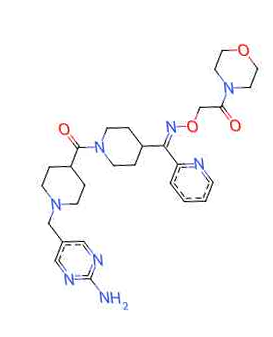 Nc1ncc(CN2CCC(C(=O)N3CCC(C(=NOCC(=O)N4CCOCC4)c4ccccn4)CC3)CC2)cn1